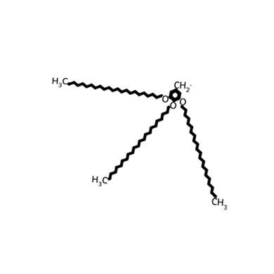 [CH2]c1cc(OCCCCCCCCCCCCCCCCCCCCCCC)c(OCCCCCCCCCCCCCCCCCCCCCCC)c(OCCCCCCCCCCCCCCCCCCCCCCC)c1